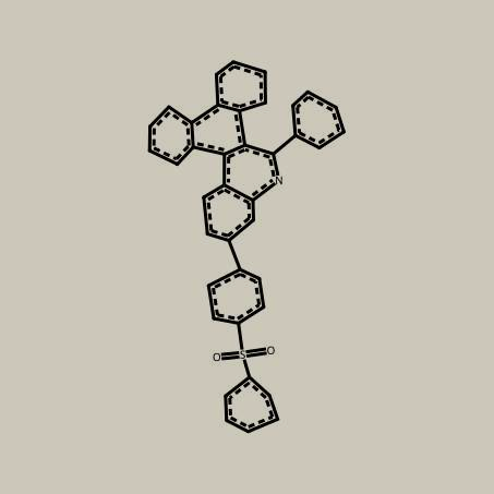 O=S(=O)(c1ccccc1)c1ccc(-c2ccc3c(c2)nc(-c2ccccc2)c2c4ccccc4c4ccccc4c32)cc1